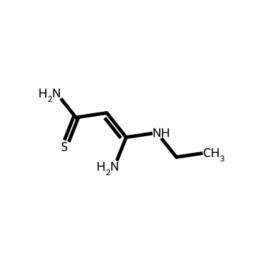 CCNC(N)=CC(N)=S